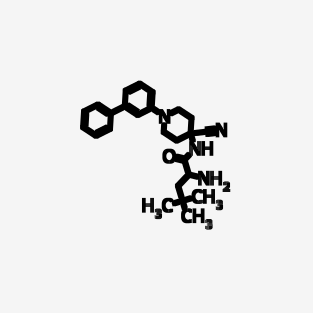 CC(C)(C)CC(N)C(=O)NC1(C#N)CCN(c2cccc(-c3ccccc3)c2)CC1